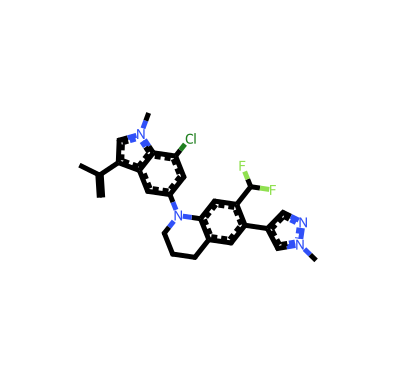 C=C(C)c1cn(C)c2c(Cl)cc(N3CCCc4cc(-c5cnn(C)c5)c(C(F)F)cc43)cc12